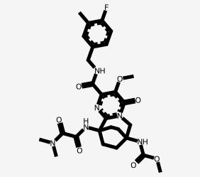 COC(=O)NC12CCC(NC(=O)C(=O)N(C)C)(CC1)c1nc(C(=O)NCc3ccc(F)c(C)c3)c(OC)c(=O)n1C2